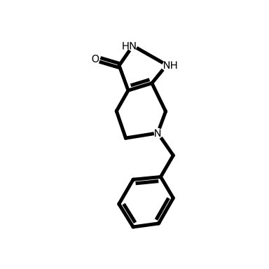 O=c1[nH][nH]c2c1CCN(Cc1ccccc1)C2